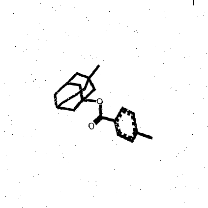 Cc1ccc(C(=O)OC23CC4CC(CC(C)(C4)C2)C3)cc1